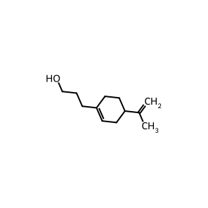 C=C(C)C1CC=C(CCCO)CC1